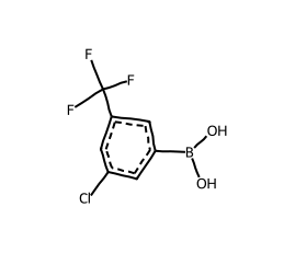 OB(O)c1cc(Cl)cc(C(F)(F)F)c1